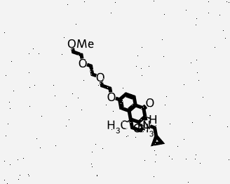 COCCOCCOCCOc1ccc2c(c1)[C@]1(C)CCN(CC3CC3)[C@H](C2=O)[C@@H]1C